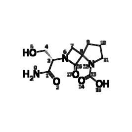 NC(=O)[C@H](CO)N1CC2(CCCN2C(=O)O)C1=O